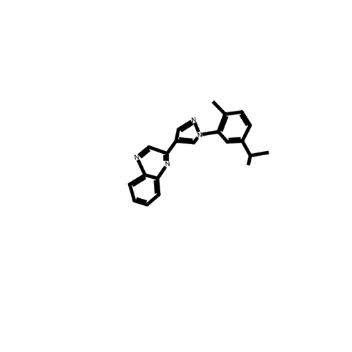 Cc1ccc(C(C)C)cc1-n1cc(-c2cnc3ccccc3n2)cn1